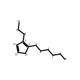 CCCCCCC1=C(CCC)C=CC1